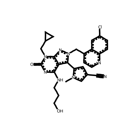 Cn1cc(C#N)cc1-c1c2c(NCCCO)nc(=O)n(CC3CC3)c2nn1Cc1ccnc2ccc(Cl)cc12